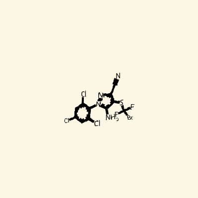 N#Cc1nn(-c2c(Cl)cc(Cl)cc2Cl)c(N)c1SC(F)(F)Br